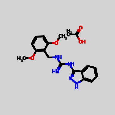 CC(=O)O.COc1cccc(OC)c1CNC(=N)Nc1n[nH]c2ccccc12